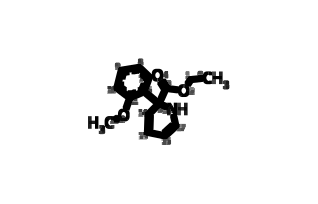 CCOC(=O)C1(c2ccccc2OC)C=CC=CN1